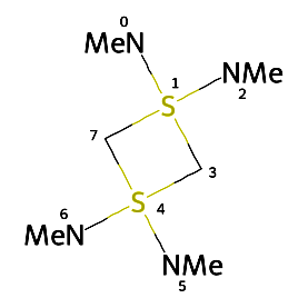 CNS1(NC)CS(NC)(NC)C1